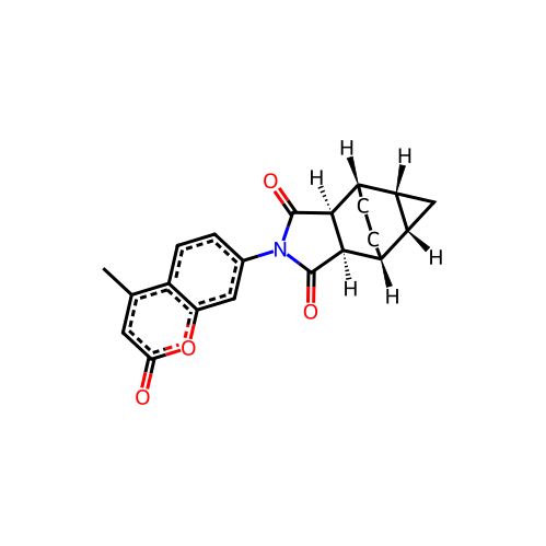 Cc1cc(=O)oc2cc(N3C(=O)[C@@H]4[C@@H]5CC[C@@H]([C@@H]6C[C@@H]65)[C@@H]4C3=O)ccc12